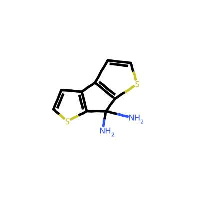 NC1(N)c2sccc2-c2ccsc21